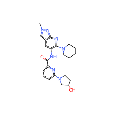 Cn1cc2cc(NC(=O)c3cccc(N4CC[C@H](O)C4)n3)c(N3CCCCC3)nc2n1